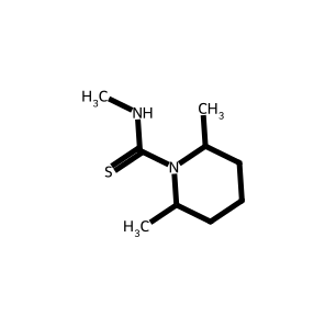 CNC(=S)N1C(C)CCCC1C